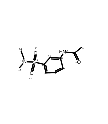 CC(=O)Nc1cccc(S(=O)(=O)N(C)C)c1